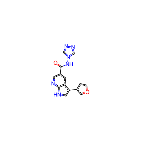 O=C(Nn1cnnc1)c1cnc2[nH]cc(-c3ccoc3)c2c1